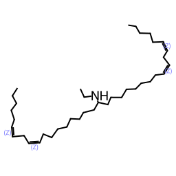 CCCCC/C=C\C/C=C\CCCCCCCCC(CCCCCCCC/C=C\C/C=C\CCCCC)NCC